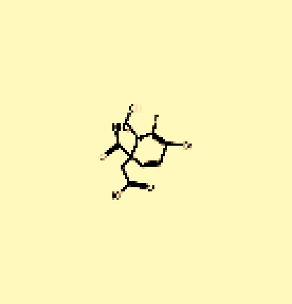 CCN1C(F)=C(Br)C=CC1(CC(=O)O)C(N)=O